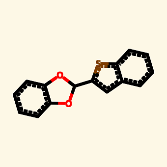 c1ccc2c(c1)O[C](c1cc3ccccc3s1)O2